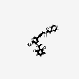 CC(Oc1cc(C#CCNC(=O)CN2CCOCC2)cnc1N)c1c(Cl)ccc(F)c1Cl